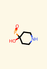 O=PC1(O)CCNCC1